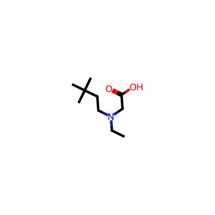 CCN(CCC(C)(C)C)CC(=O)O